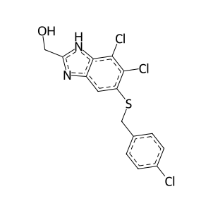 OCc1nc2cc(SCc3ccc(Cl)cc3)c(Cl)c(Cl)c2[nH]1